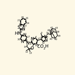 Cc1c(-c2cnc3c(c2C(=O)O)OC(C)(C)CN3c2cnc(Nc3nc4ccccc4s3)cn2)cnn1CC12CC3CC(CC(C3)C1)C2